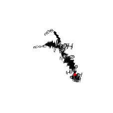 CCCCCCCCCCCCCCCC(=O)OC[C@H](COP(=O)(O)OCCNC(=O)CCC/C=C/C(=O)NCCCC(O)(P(=O)(O)O)P(=O)(O)O)OC(=O)CCCCCCCCCCCCCCC